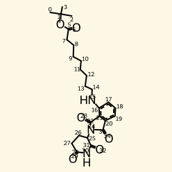 CC(C)(C)OC(=O)CCCCCCCCNc1cccc2c1C(=O)N(C1CCC(=O)NC1=O)C2=O